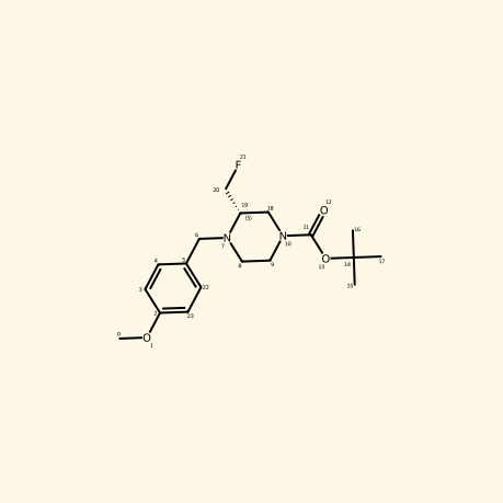 COc1ccc(CN2CCN(C(=O)OC(C)(C)C)C[C@H]2CF)cc1